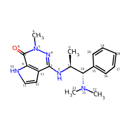 C[C@H](Nc1nn(C)c(=O)c2[nH]ccc12)[C@H](c1ccccc1)N(C)C